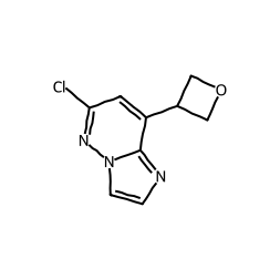 Clc1cc(C2COC2)c2nccn2n1